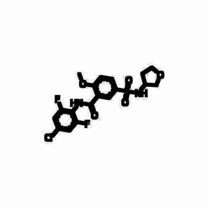 COc1ccc(S(=O)(=O)NC2CCOC2)cc1C(=O)Nc1c(F)cc(Cl)cc1F